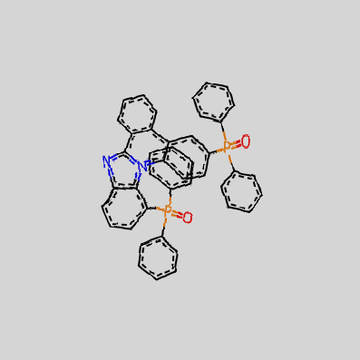 O=P(c1ccccc1)(c1ccccc1)c1ccc2c(c1)c1ccccc1c1nc3cccc(P(=O)(c4ccccc4)c4ccccc4)c3n21